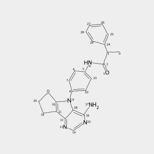 CC(C(=O)Nc1ccc(-n2c3c(c4ncnc(N)c42)CCC3)cc1)c1ccccc1